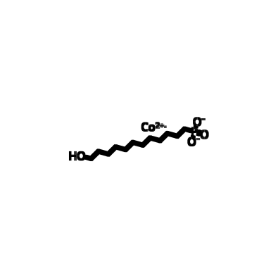 O=P([O-])([O-])CCCCCCCCCCCCO.[Co+2]